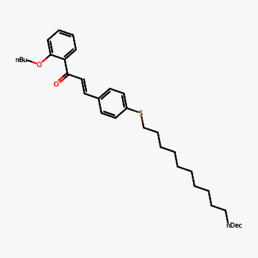 CCCCCCCCCCCCCCCCCCCCSc1ccc(/C=C/C(=O)c2ccccc2OCCCC)cc1